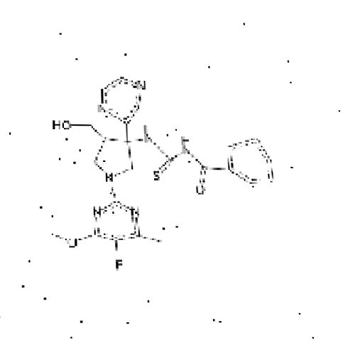 COc1nc(N2CC(CO)C(NC(=S)NC(=O)c3ccccc3)(c3cnccn3)C2)nc(C)c1F